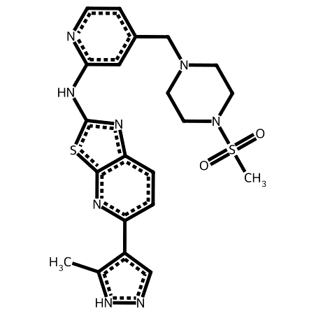 Cc1[nH]ncc1-c1ccc2nc(Nc3cc(CN4CCN(S(C)(=O)=O)CC4)ccn3)sc2n1